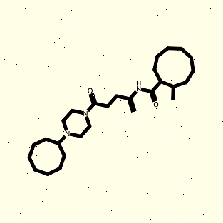 C=C(CCC(=O)N1CCN(C2CCCCCCC2)CC1)NC(=O)C1CCCCCCCC1C